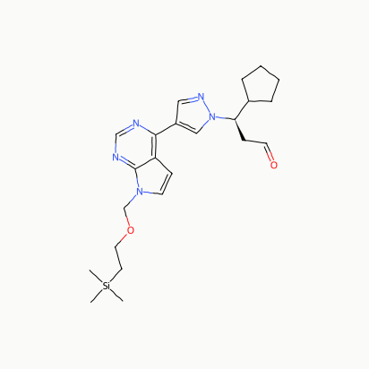 C[Si](C)(C)CCOCn1ccc2c(-c3cnn([C@H](CC=O)C4CCCC4)c3)ncnc21